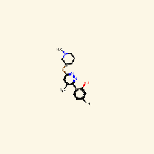 Cc1ccc(-c2nnc(S[C@@H]3CCCN(C)C3)cc2C)c(O)c1